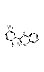 C=C(Nc1ccccc1C#N)c1cc(C)ccc1Cl